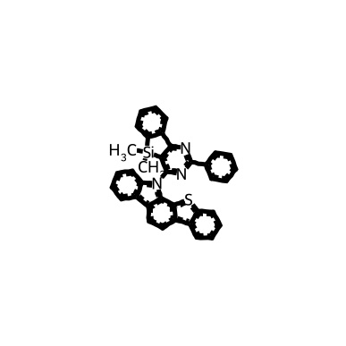 C[Si]1(C)c2ccccc2-c2nc(-c3ccccc3)nc(-n3c4ccccc4c4ccc5c6ccccc6sc5c43)c21